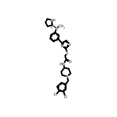 CN(c1cccc(-c2csc(SCC(=O)NC3CCN(Cc4ccc(Cl)c(Cl)c4)CC3)n2)c1)[C@H]1CCCN1